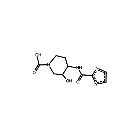 O=C(NC1CCN(C(=O)O)CC1O)c1ncc[nH]1